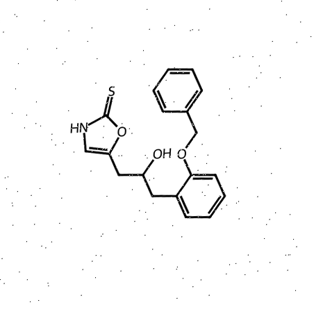 OC(Cc1c[nH]c(=S)o1)Cc1ccccc1OCc1ccccc1